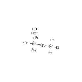 CCC[N+](CCC)(CCC)CCC.CC[N+](CC)(CC)CC.[OH-].[OH-]